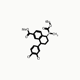 COC(=O)c1ccc2c(c1)C(c1ccc(Cl)c(Cl)c1)CC[C@@H]2N(C)C(=O)OC(C)(C)C